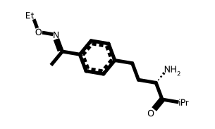 CCO/N=C(\C)c1ccc(CC[C@H](N)C(=O)C(C)C)cc1